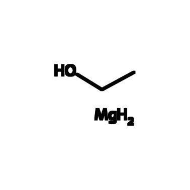 CCO.[MgH2]